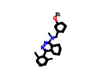 CCOc1cccc(CN(C)c2nnc(-c3c(C)cccc3C)c3ccccc23)c1